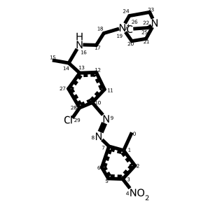 Cc1cc([N+](=O)[O-])ccc1N=Nc1ccc(C(C)NCC[N+]23CCN(CC2)CC3)cc1Cl